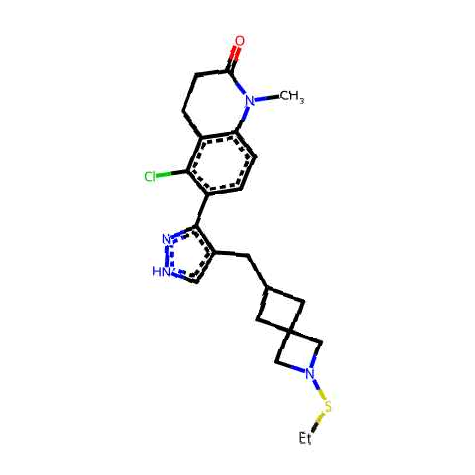 CCSN1CC2(CC(Cc3c[nH]nc3-c3ccc4c(c3Cl)CCC(=O)N4C)C2)C1